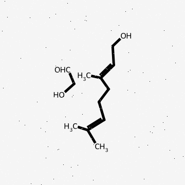 CC(C)=CCC/C(C)=C/CO.O=CCO